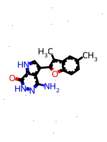 Cc1ccc2oc(-c3c[nH]c4c(=O)[nH]nc(N)c34)c(C)c2c1